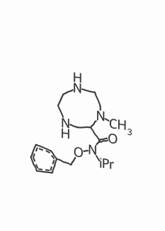 CC(C)N(OCc1ccccc1)C(=O)C1CNCCNCCN1C